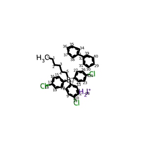 CCCCCC[B-](c1ccc(Cl)cc1)(c1ccc(Cl)cc1)c1ccc(Cl)cc1.[IH2+].c1ccc(-c2ccccc2)cc1